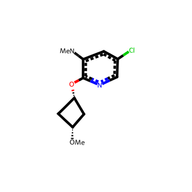 CNc1cc(Cl)cnc1O[C@H]1C[C@@H](OC)C1